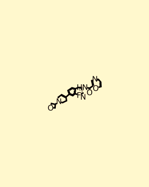 N#C[C@H](Cc1ccc(C2=CCN(C3COC3)CC2)cc1F)NC(=O)C1=CN=CC=CO1